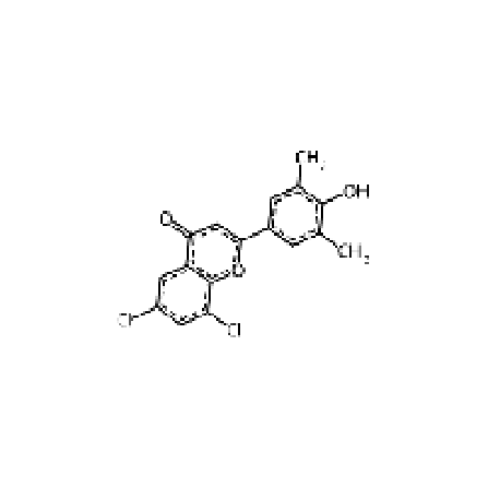 Cc1cc(-c2cc(=O)c3cc(Cl)cc(Cl)c3o2)cc(C)c1O